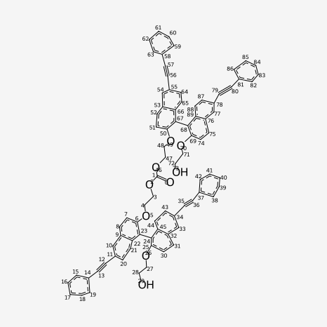 O=C(OCCOc1ccc2cc(C#Cc3ccccc3)ccc2c1-c1c(OCCO)ccc2cc(C#Cc3ccccc3)ccc12)OCCOc1ccc2cc(C#Cc3ccccc3)ccc2c1-c1c(OCCO)ccc2cc(C#Cc3ccccc3)ccc12